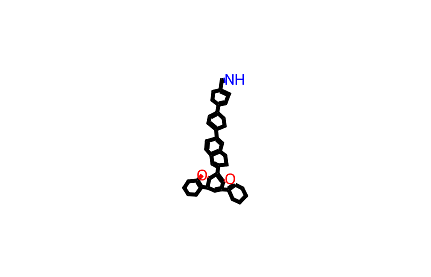 N=CC1=CC=C(C2=CC=C(c3ccc4c(c3)CCC(C3=c5oc6c(c5=CC5C7=C(CCCC7)OC35)CCCC6)=C4)CC2)CC1